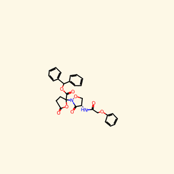 O=C(COc1ccccc1)N[C@H]1CON(C2(C(=O)OC(c3ccccc3)c3ccccc3)CCC(=O)O2)C1=O